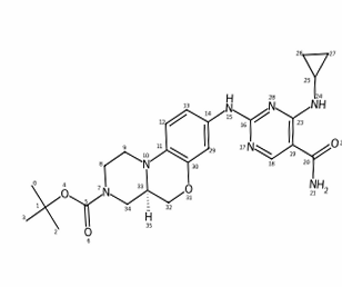 CC(C)(C)OC(=O)N1CCN2c3ccc(Nc4ncc(C(N)=O)c(NC5CC5)n4)cc3OC[C@H]2C1